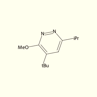 COc1nnc(C(C)C)cc1C(C)(C)C